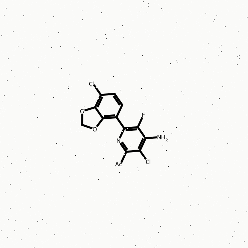 CC(=O)c1nc(-c2ccc(Cl)c3c2OCO3)c(F)c(N)c1Cl